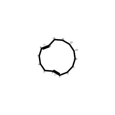 [CH]1CC/C=C/CCC/C=C/CCCC1